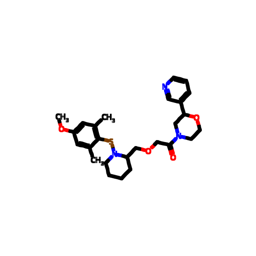 COc1cc(C)c(SN2CCCCC2COCC(=O)N2CCOC(c3cccnc3)C2)c(C)c1